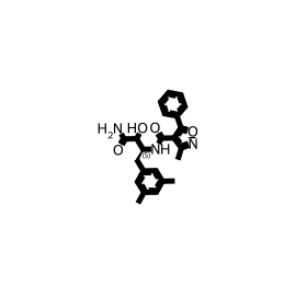 Cc1cc(C)cc(C[C@H](NC(=O)c2c(C)noc2-c2ccccc2)C(O)C(N)=O)c1